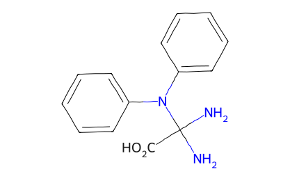 NC(N)(C(=O)O)N(c1ccccc1)c1ccccc1